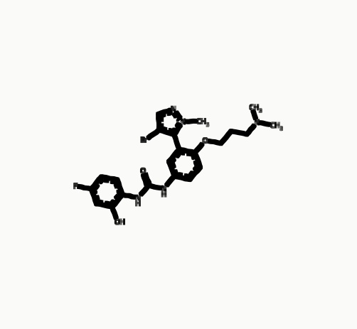 CN(C)CCCOc1ccc(NC(=O)Nc2ccc(F)cc2O)cc1-c1c(Br)cnn1C